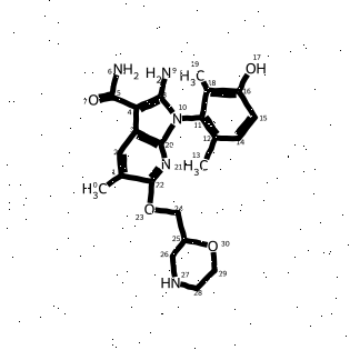 Cc1cc2c(C(N)=O)c(N)n(-c3c(C)ccc(O)c3C)c2nc1OCC1CNCCO1